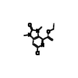 C=C(OCC)c1nc(Cl)cc2c1n(C)c(=O)n2C